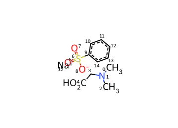 CN(C)CC(=O)O.O=S(=O)([O-])c1ccccc1.[Na+]